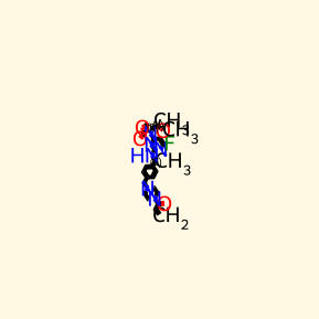 C=CC(=O)N1CCN(Cc2ccc([C@H](C)Nc3nc(F)cc(N4C(=O)OC[C@@H]4[C@@H](C)OC)n3)cc2)CC1